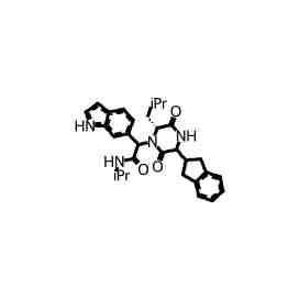 CC(C)C[C@@H]1C(=O)NC(C2Cc3ccccc3C2)C(=O)N1C(C(=O)NC(C)C)c1ccc2cc[nH]c2c1